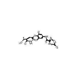 C[C@H](O)c1cc(Oc2c(Cl)cc(NC(=O)c3noc(=O)[nH]3)cc2Cl)n[nH]c1=O